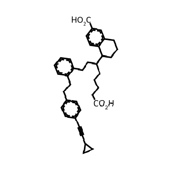 O=C(O)CCCCC(CCc1ccccc1CCc1ccc(C#CC2CC2)cc1)C1CCCc2cc(C(=O)O)ccc21